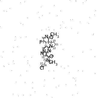 COc1ncc(F)cc1C1CCCN1c1ccn2ncc(C(=O)N(C)CCCCl)c2n1